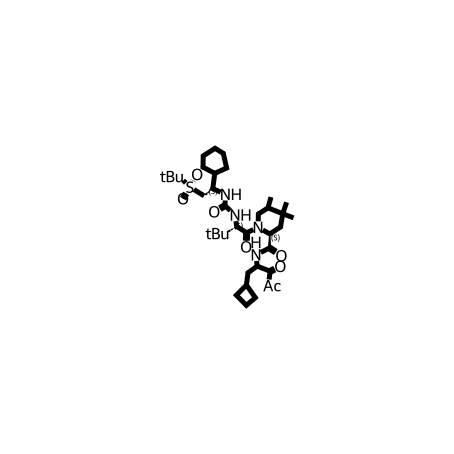 CC(=O)C(=O)C(CC1CCC1)NC(=O)[C@@H]1CC(C)(C)C(C)CN1C(=O)[C@@H](NC(=O)N[C@H](CS(=O)(=O)C(C)(C)C)C1CCCCC1)C(C)(C)C